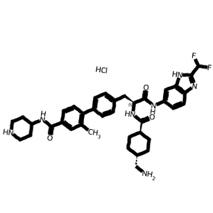 Cc1cc(C(=O)NC2CCNCC2)ccc1-c1ccc(C[C@H](NC(=O)[C@H]2CC[C@H](CN)CC2)C(=O)Nc2ccc3nc(C(F)F)[nH]c3c2)cc1.Cl